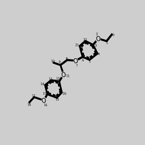 CCOc1ccc(OCC(C)Oc2ccc(OCC)cc2)cc1